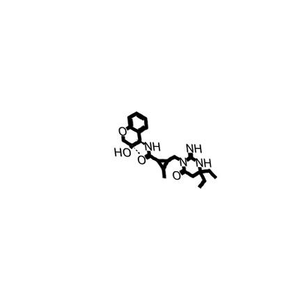 CCC1(CC)CC(=O)N(CC2C(C)C2C(=O)N[C@@H]2c3ccccc3OC[C@]2(C)O)C(=N)N1